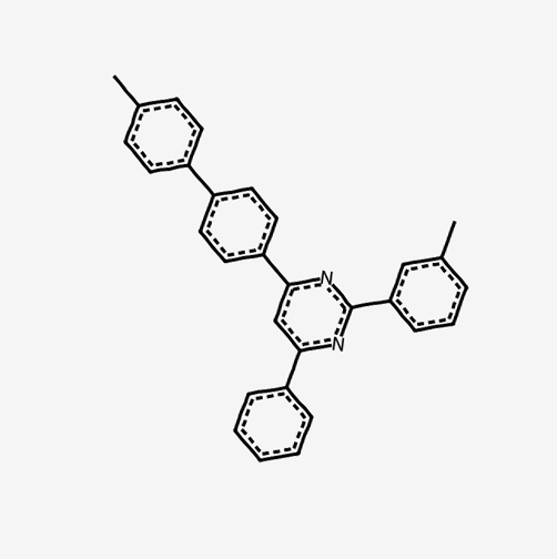 Cc1ccc(-c2ccc(-c3cc(-c4ccccc4)nc(-c4cccc(C)c4)n3)cc2)cc1